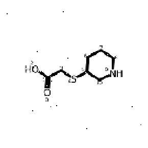 O=C(O)CSC1CCCNC1